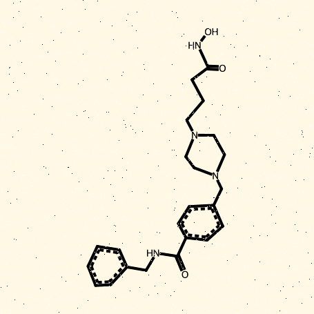 O=C(CCCN1CCN(Cc2ccc(C(=O)NCc3ccccc3)cc2)CC1)NO